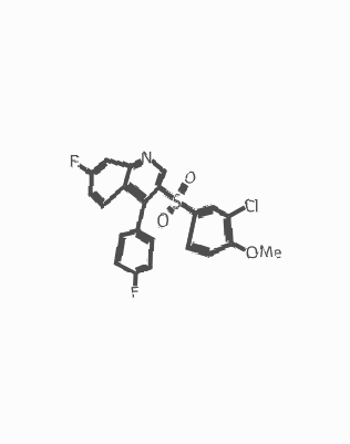 COc1ccc(S(=O)(=O)c2cnc3cc(F)ccc3c2-c2ccc(F)cc2)cc1Cl